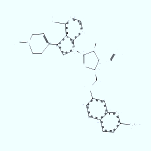 C=C[C@H]1[C@H](F)[C@H](n2cc(C3=CCN(C)CC3)c3c(N)ncnc32)O[C@@H]1COc1ccc2ccc(NC)nc2c1